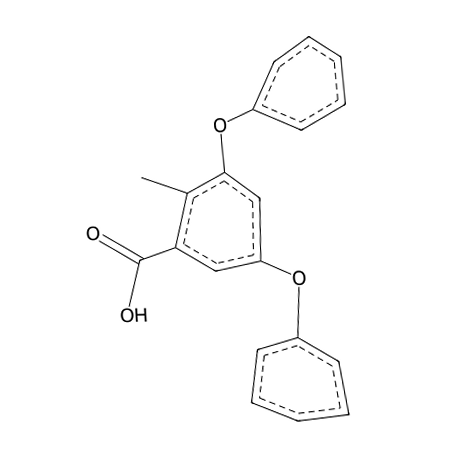 Cc1c(Oc2ccccc2)cc(Oc2ccccc2)cc1C(=O)O